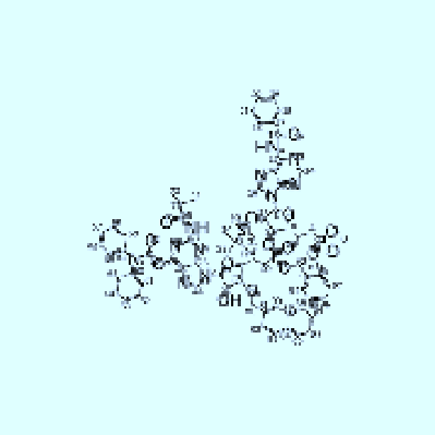 COP(=O)(CC[C@H]1O[C@@H](n2cnc3c(NC(=O)c4ccccc4)ncnc32)[C@H](O[Si](C)(C)C(C)(C)C)[C@@H]1OP(=O)(CC[C@H]1O[C@@H](n2cnc3c(OC(=O)N(c4ccccc4)c4ccccc4)nc(NC(=O)C(C)C)nc32)[C@H](O)[C@@H]1OCc1ccc2ccccc2c1)OCc1ccccc1)OC